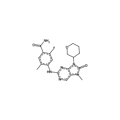 Cc1cc(C(N)=O)c(F)cc1Nc1ncc2c(n1)n(C1CCCOC1)c(=O)n2C